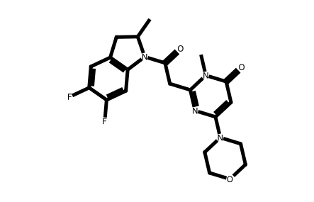 CC1Cc2cc(F)c(F)cc2N1C(=O)Cc1nc(N2CCOCC2)cc(=O)n1C